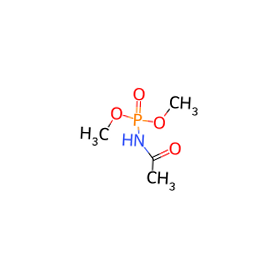 COP(=O)(NC(C)=O)OC